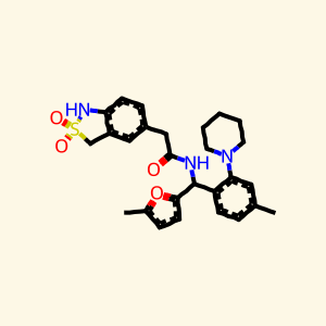 Cc1ccc(C(NC(=O)Cc2ccc3c(c2)CS(=O)(=O)N3)c2ccc(C)o2)c(N2CCCCC2)c1